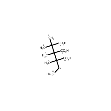 CC(C)(C(=O)O)C(C)(C(=O)O)C(C)(CC(=O)O)C(=O)O